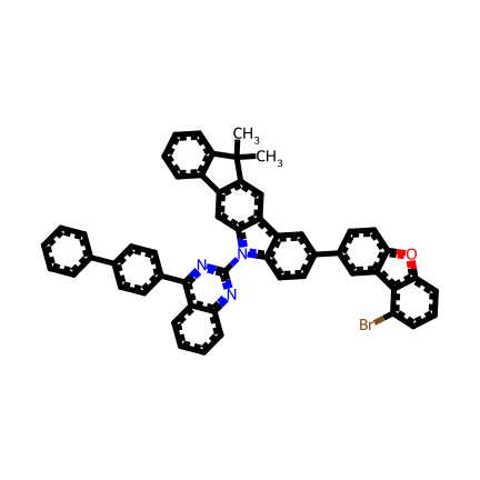 CC1(C)c2ccccc2-c2cc3c(cc21)c1cc(-c2ccc4oc5cccc(Br)c5c4c2)ccc1n3-c1nc(-c2ccc(-c3ccccc3)cc2)c2ccccc2n1